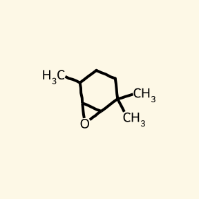 CC1CCC(C)(C)C2OC12